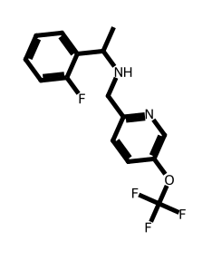 CC(NCc1ccc(OC(F)(F)F)cn1)c1ccccc1F